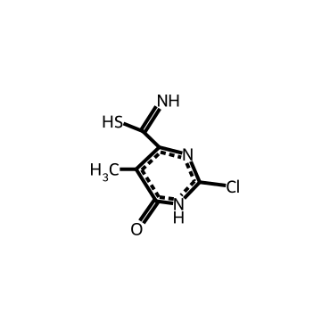 Cc1c(C(=N)S)nc(Cl)[nH]c1=O